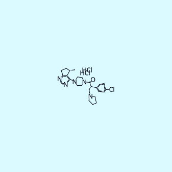 C[C@@H]1CCc2ncnc(N3CCN(C(=O)[C@H](CN4CCCC4)c4ccc(Cl)cc4)CC3)c21.Cl.Cl